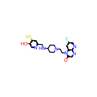 O=c1cnc2ncc(F)cc2n1CCN1CCC(NCc2cc(S)c(O)cn2)CC1